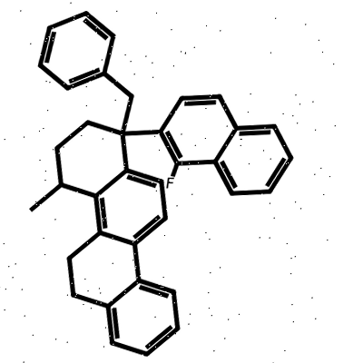 CC1CCC(Cc2ccccc2)(c2ccc3ccccc3c2F)c2ccc3c(c21)CCc1ccccc1-3